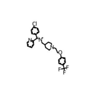 CN(CC1CCN(CCOc2ccc(C(F)(F)F)cc2)CC1)[C@@H](c1ccc(Cl)cc1)c1ccccn1